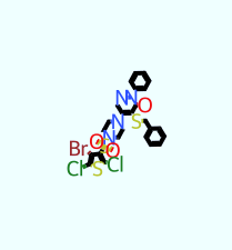 O=c1c(SCc2ccccc2)c(N2CCN(S(=O)(=O)c3c(Cl)sc(Cl)c3Br)CC2)cnn1-c1ccccc1